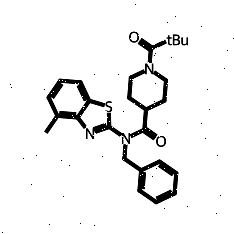 Cc1cccc2sc(N(Cc3ccccc3)C(=O)C3CCN(C(=O)C(C)(C)C)CC3)nc12